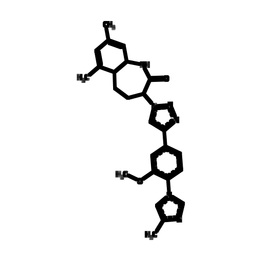 COc1cc(-c2cn(C3CCC4C(C)=CC(C)=CC4NC3=O)nn2)ccc1-n1cnc(C)c1